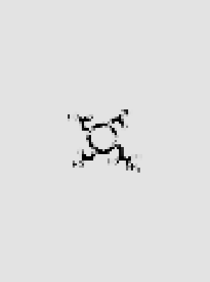 NC(O)C(O)CN1CCN(CC(=O)O)CCN(CC(=O)O)CCN(CC(=O)O)CC1